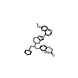 COc1ccc2nccc(-n3cc4c(n3)CCC(N(Cc3ccccc3)Cc3ccc5c(c3)NC(=O)CS5)C4)c2n1